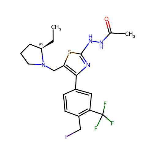 CC[C@@H]1CCCN1Cc1sc(NNC(C)=O)nc1-c1ccc(CI)c(C(F)(F)F)c1